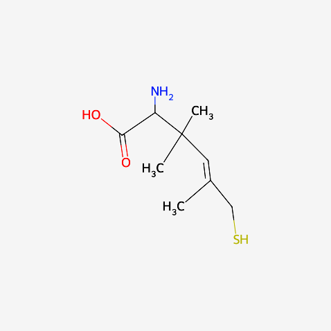 C/C(=C\C(C)(C)C(N)C(=O)O)CS